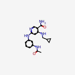 CC(=O)Nc1cccc(Nc2cc(NCC3CC3)c(C(N)=O)cn2)c1